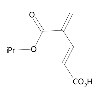 C=C(C=CC(=O)O)C(=O)OC(C)C